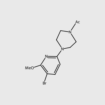 COc1nc(N2CCN(C(C)=O)CC2)ccc1Br